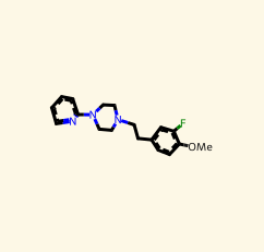 COc1ccc(CCN2CCN(c3ccccn3)CC2)cc1F